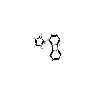 c1ccc2c(c1)-c1cccc(-c3nnco3)c1-2